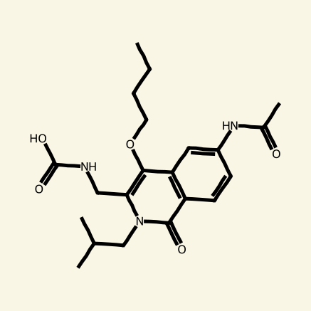 CCCCOc1c(CNC(=O)O)n(CC(C)C)c(=O)c2ccc(NC(C)=O)cc12